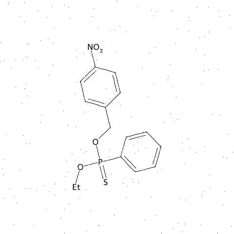 CCOP(=S)(OCc1ccc([N+](=O)[O-])cc1)c1ccccc1